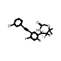 CC1(C)OCC(=O)N[C@](C)(c2cc(C#Cc3cccc(Cl)c3)c(F)cc2F)C1(F)F